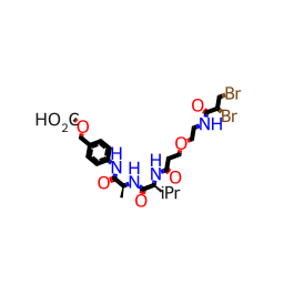 CC(C)[C@H](NC(=O)CCOCCNC(=O)C(Br)CBr)C(=O)N[C@@H](C)C(=O)Nc1ccc(COC(=O)O)cc1